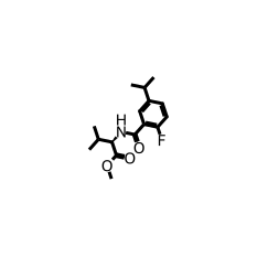 COC(=O)[C@H](NC(=O)c1cc(C(C)C)ccc1F)C(C)C